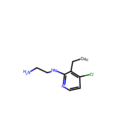 CC(=O)OCc1c(Cl)ccnc1NCCN